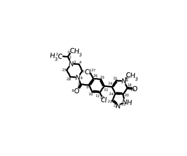 CC(C)N1CCN(C(=O)c2cc(Cl)c(-c3cn(C)c(=O)c4[nH]ncc34)cc2Cl)CC1